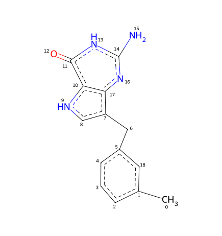 Cc1cccc(Cc2c[nH]c3c(=O)[nH]c(N)nc23)c1